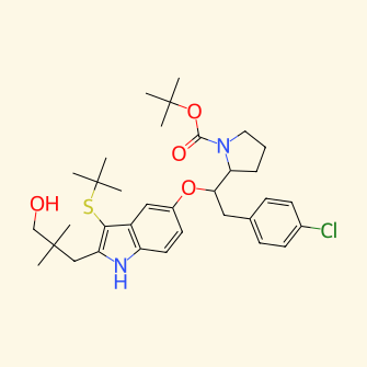 CC(C)(CO)Cc1[nH]c2ccc(OC(Cc3ccc(Cl)cc3)C3CCCN3C(=O)OC(C)(C)C)cc2c1SC(C)(C)C